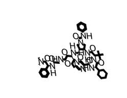 CCC[C@H](NC(=O)[C@@H]1CN(C(=O)Nc2ccccc2)C[C@@H]1NC(=O)C(NC(=O)[C@@H](NC(=O)c1cnccn1)C1CCCCC1)C(C)(C)C)C(=O)C(=O)NCC(=O)N[C@H](C(=O)N(C)C)c1ccccc1